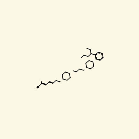 CCCC(CC)c1ccccc1[C@H]1CC[C@H](CCCC[C@H]2CC[C@H](CCC=CC=C(F)C#N)CC2)CC1